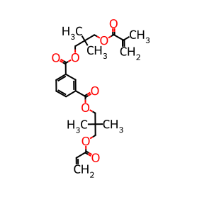 C=CC(=O)OCC(C)(C)COC(=O)c1cccc(C(=O)OCC(C)(C)COC(=O)C(=C)C)c1